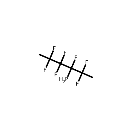 CC(F)(F)C(F)(F)C(F)(P)C(C)(F)F